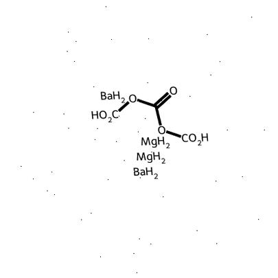 O=C(O)OC(=O)OC(=O)O.[BaH2].[BaH2].[MgH2].[MgH2]